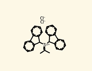 C[C](C)=[Ti+2]([CH]1c2ccccc2-c2ccccc21)[CH]1c2ccccc2-c2ccccc21.[Cl-].[Cl-]